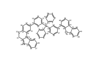 c1ccc([Si](c2ccccc2)(c2cccc(-c3ccc4c(c3)-n3c(nc5ccccc53)CS4)c2)c2cccc(-c3cccc4c3oc3ccccc34)c2)cc1